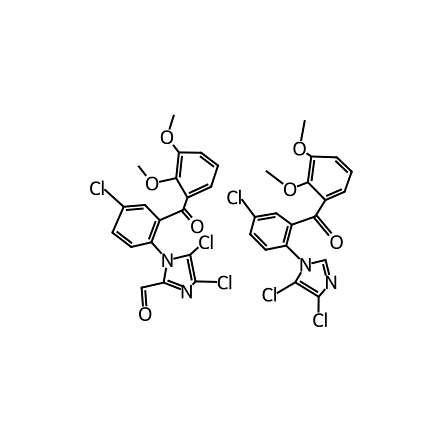 COc1cccc(C(=O)c2cc(Cl)ccc2-n2c(C=O)nc(Cl)c2Cl)c1OC.COc1cccc(C(=O)c2cc(Cl)ccc2-n2cnc(Cl)c2Cl)c1OC